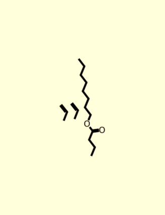 C=CC.C=CC.CCCCCCCCOC(=O)CCC